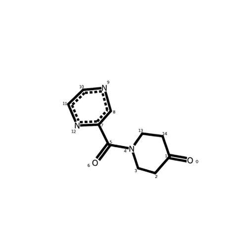 O=C1CCN(C(=O)c2cnccn2)CC1